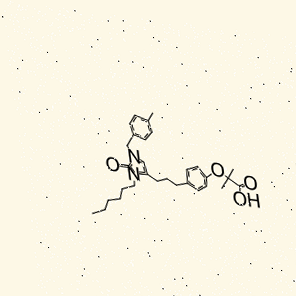 CCCCCCn1c(CCCc2ccc(OC(C)(C)C(=O)O)cc2)cn(Cc2ccc(C)cc2)c1=O